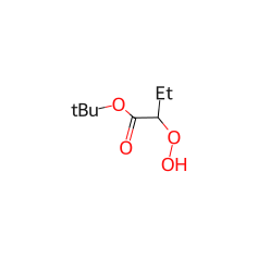 CCC(OO)C(=O)OC(C)(C)C